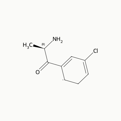 C[C@@H](N)C(=O)C1=CC(Cl)=CC[CH]1